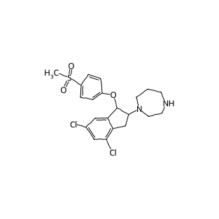 CS(=O)(=O)c1ccc(OC2c3cc(Cl)cc(Cl)c3CC2N2CCCNCC2)cc1